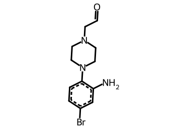 Nc1cc(Br)ccc1N1CCN(CC=O)CC1